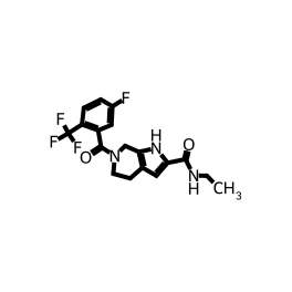 CCNC(=O)c1cc2c([nH]1)CN(C(=O)c1cc(F)ccc1C(F)(F)F)CC2